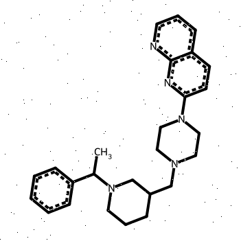 CC(c1ccccc1)N1CCCC(CN2CCN(c3ccc4cccnc4n3)CC2)C1